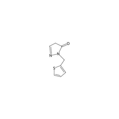 O=C1CC=NN1Cc1cccs1